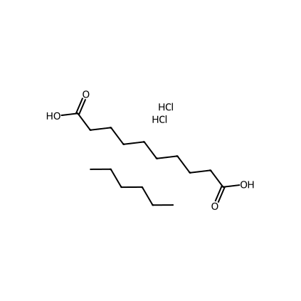 CCCCCC.Cl.Cl.O=C(O)CCCCCCCCC(=O)O